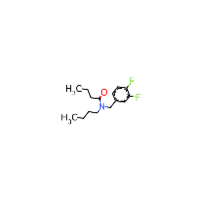 CCCCN(Cc1ccc(F)c(F)c1)C(=O)CCC